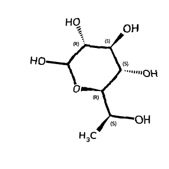 C[C@H](O)[C@H]1OC(O)[C@H](O)[C@@H](O)[C@@H]1O